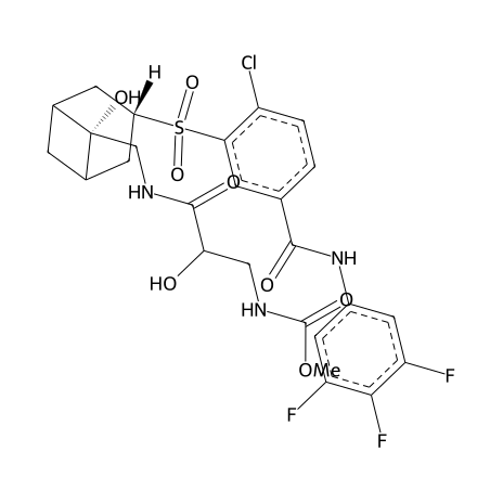 COC(=O)NCC(O)C(=O)NC[C@]1(O)C2CC1C[C@@H](S(=O)(=O)c1cc(C(=O)Nc3cc(F)c(F)c(F)c3)ccc1Cl)C2